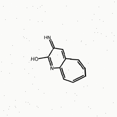 N=c1cc2cccccc-2nc1O